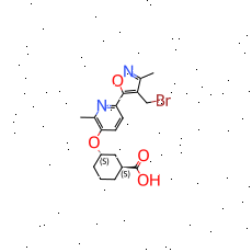 Cc1nc(-c2onc(C)c2CBr)ccc1O[C@H]1CCC[C@H](C(=O)O)C1